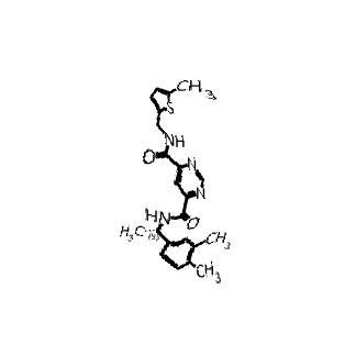 Cc1ccc(CNC(=O)c2cc(C(=O)N[C@@H](C)c3ccc(C)c(C)c3)ncn2)s1